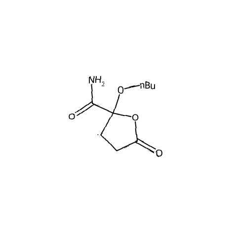 CCCCOC1(C(N)=O)[CH]CC(=O)O1